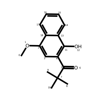 COc1cc(C(=O)C(C)(C)C)c(O)c2ccccc12